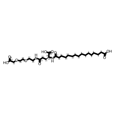 O=C(O)CCCCCCCCCCCCCCC(=O)N[C@@H](CCC(=O)NCCOCCOCC(=O)O)C(=O)O